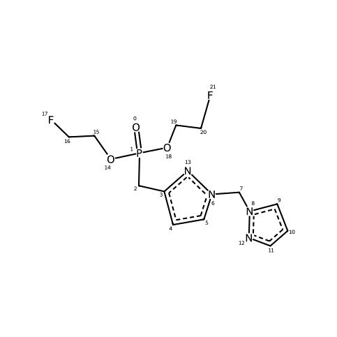 O=P(Cc1ccn(Cn2cccn2)n1)(OCCF)OCCF